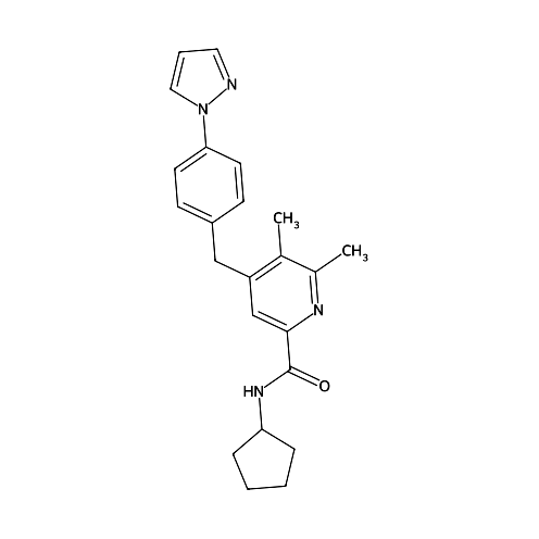 Cc1nc(C(=O)NC2CCCC2)cc(Cc2ccc(-n3cccn3)cc2)c1C